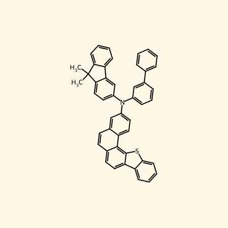 CC1(C)c2ccccc2-c2cc(N(c3cccc(-c4ccccc4)c3)c3ccc4c(ccc5ccc6c7ccccc7sc6c54)c3)ccc21